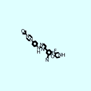 N#Cc1cc(-c2ccnc(Nc3ccc(N4CCN(C5COC5)CC4)cc3)n2)ccc1OC1CCNCC1(F)F